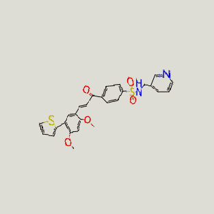 COc1cc(OC)c(-c2cccs2)cc1C=CC(=O)c1ccc(S(=O)(=O)NCc2cccnc2)cc1